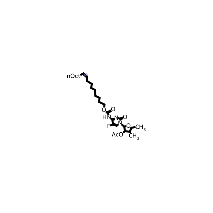 CCCCCCCC/C=C\CCCCCCCCOC(=O)Nc1nc(=O)n(C2OC(C)C(C)C2OC(C)=O)cc1F